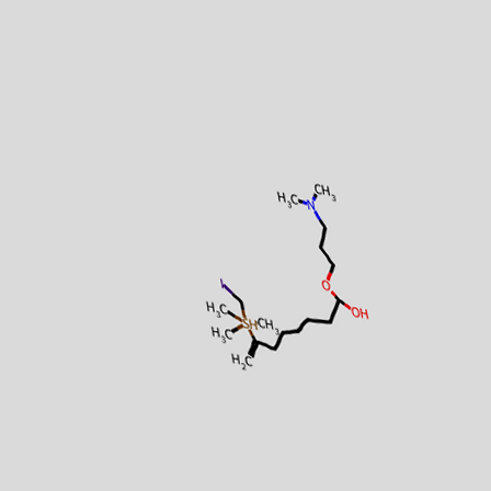 C=C(CCCCCC(O)OCCCN(C)C)[SH](C)(C)(C)CI